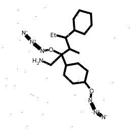 CCC(C1CCCCC1)C(C)C(CN)(ON=[N+]=[N-])C1CCC(ON=[N+]=[N-])CC1